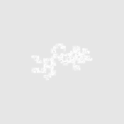 COc1cc(C2=CCCCc3c2ccc(OC)c3O[Si](C)(C)C(C)(C)C)cc(OC)c1OC